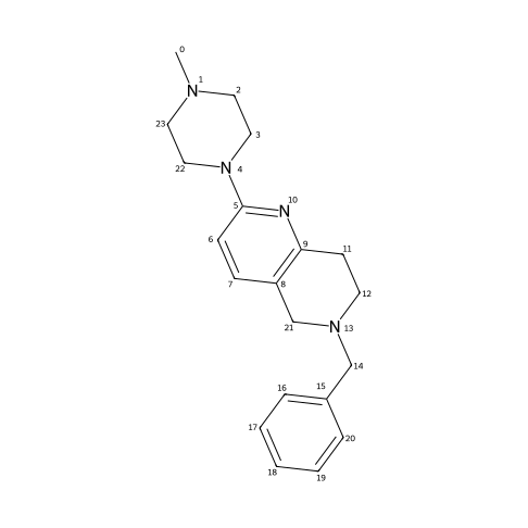 CN1CCN(c2ccc3c(n2)CCN(Cc2ccccc2)C3)CC1